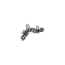 Cc1cc(Oc2ccnc(NC(=O)N3CCOCC3)c2)ccc1NC(=S)NC(=O)Cc1ccccc1